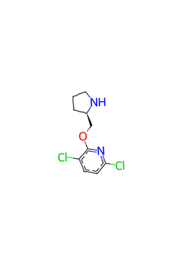 Clc1ccc(Cl)c(OC[C@H]2CCCN2)n1